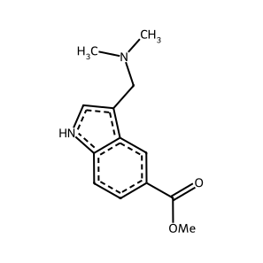 COC(=O)c1ccc2[nH]cc(CN(C)C)c2c1